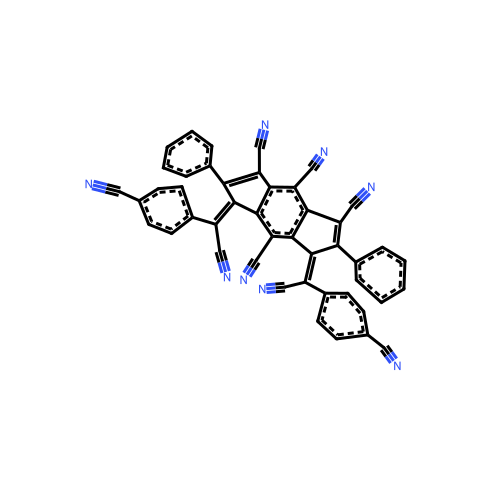 N#CC1=C(c2ccccc2)/C(=C(/C#N)c2ccc(C#N)cc2)c2c(C#N)c3c(c(C#N)c21)C(C#N)=C(c1ccccc1)/C3=C(/C#N)c1ccc(C#N)cc1